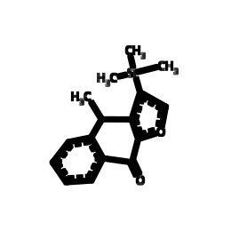 CC1c2ccccc2C(=O)c2occ([Si](C)(C)C)c21